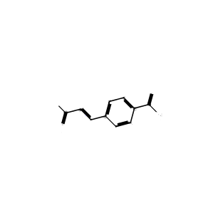 NC(=O)c1ccc(/C=C/C(=O)O)cc1